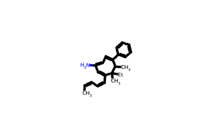 C\C=C/C=C\C1=C\C(N)=C\C=C(\c2ccccc2)C(C)C1(C)CC